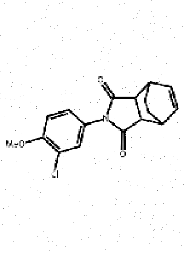 COc1ccc(N2C(=O)C3C4C=CC(CC4)C3C2=O)cc1Cl